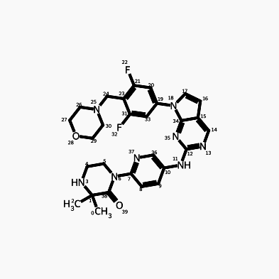 CC1(C)NCCN(c2ccc(Nc3ncc4ccn(-c5cc(F)c(CN6CCOCC6)c(F)c5)c4n3)cn2)C1=O